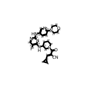 N#CC(=CC1CC1)C(=O)N1CCCC(Nc2nc(Nc3ccc(N4CCOCC4)nc3)ncc2F)C1